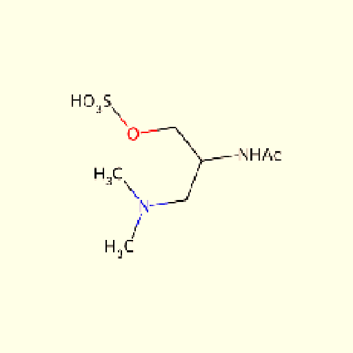 CC(=O)NC(COS(=O)(=O)O)CN(C)C